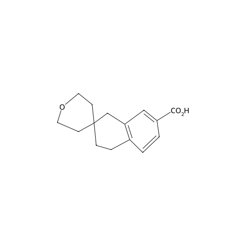 O=C(O)c1ccc2c(c1)CC1(CCOCC1)CC2